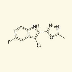 Cc1nnc(-c2[nH]c3ccc(F)cc3c2Cl)o1